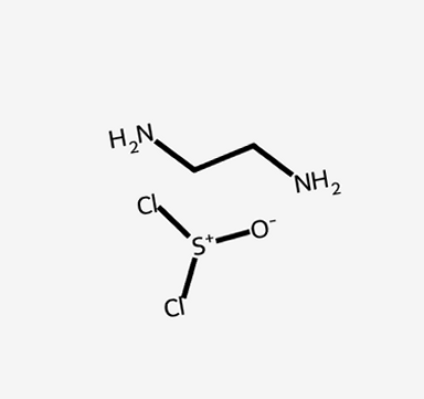 NCCN.[O-][S+](Cl)Cl